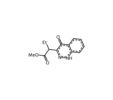 CCC(C(=O)OC)c1n[nH]c2ccccc2c1=O